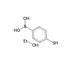 CCO.OB(O)c1ccc(S)cc1